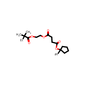 CCC(C)(C)C(=O)OCCOC(=O)CCC(=O)OC1(C(C)C)CCCC1